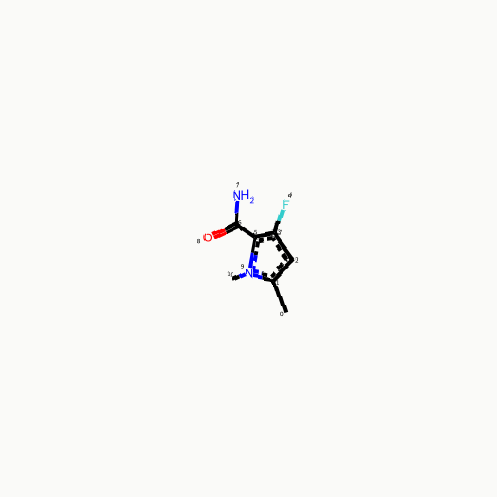 Cc1cc(F)c(C(N)=O)n1C